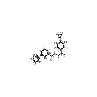 CC(CCC(C)c1cccc(-n2cccn2)c1)c1ccc(C2CC2)cc1